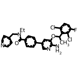 CCN(Cc1ccncc1)C(=O)c1ccc(-c2cnc(N)c(OC(C)c3c(Cl)ccc(F)c3Cl)c2)cc1